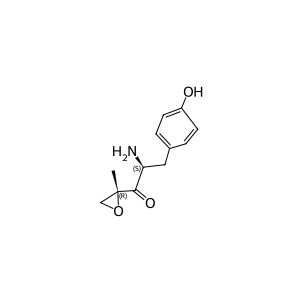 C[C@]1(C(=O)[C@@H](N)Cc2ccc(O)cc2)CO1